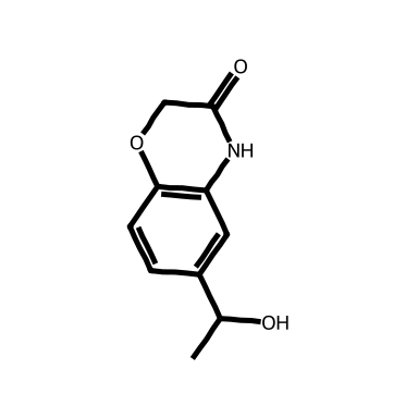 CC(O)c1ccc2c(c1)NC(=O)CO2